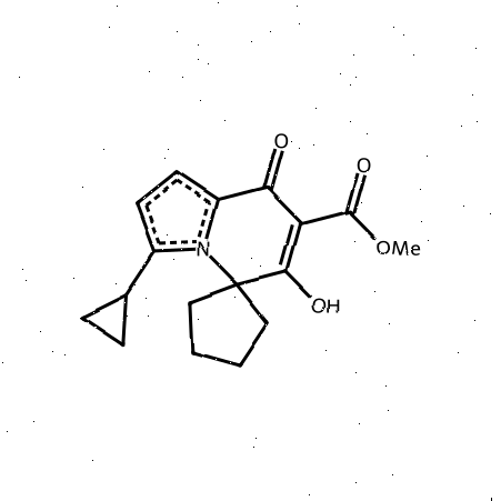 COC(=O)C1=C(O)C2(CCCC2)n2c(ccc2C2CC2)C1=O